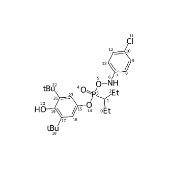 CCC(CC)P(=O)(ONc1ccc(Cl)cc1)Oc1cc(C(C)(C)C)c(O)c(C(C)(C)C)c1